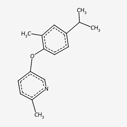 Cc1ccc(Oc2ccc(C(C)C)cc2C)cn1